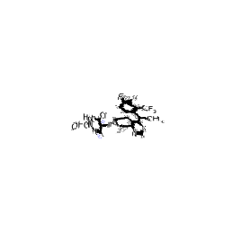 C/C(Cl)=C(\C=N/NC=O)N1CCc2c(ncnc2C(C)c2ccc(F)cc2C(F)(F)F)C1